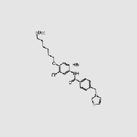 Br.CCCCCCCCCCCCCCCCOc1ccc(NC(=O)c2ccc(CN3C=CSC3)cc2)cc1Cl